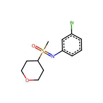 CS(=O)(=Nc1cccc(Br)c1)C1CCOCC1